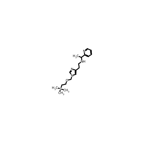 CC(NCCc1cn(COCC[Si](C)(C)C)cn1)c1ccccn1